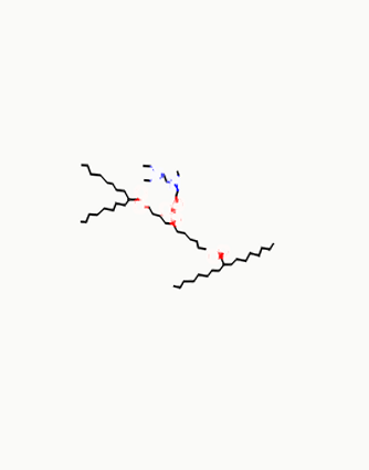 CCCCCCCCC(CCCCCCCC)C(=O)OCCCCCCC(CCCCOC(=O)C(CCCCCCCC)CCCCCCCC)OC(=O)OCCN(CC)CCN(CC)CC